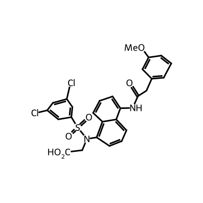 COc1cccc(CC(=O)Nc2cccc3c(N(CC(=O)O)S(=O)(=O)c4cc(Cl)cc(Cl)c4)cccc23)c1